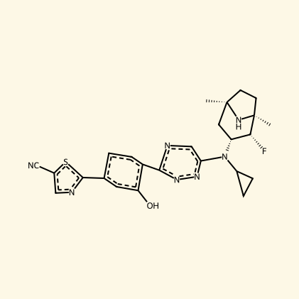 C[C@]12CC[C@](C)(N1)[C@H](F)[C@H](N(c1cnc(-c3ccc(-c4ncc(C#N)s4)cc3O)nn1)C1CC1)C2